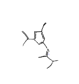 C=C(F)c1cc(C)cc(/N=C(\C)N(C)C)c1